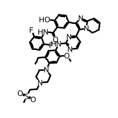 CCc1cc(Nc2nccc(-c3c(-c4ccc(O)c(C(=O)Nc5c(F)cccc5F)c4)nc4n3CCC=C4)n2)c(OC)cc1N1CCN(CCS(C)(=O)=O)CC1